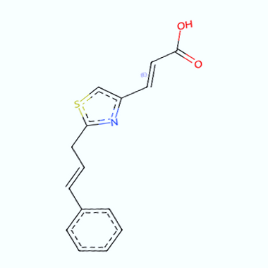 O=C(O)/C=C/c1csc(CC=Cc2ccccc2)n1